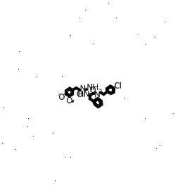 COc1ccc(CC(=O)N=C(N)NC(Cc2ccccc2)C(=O)NCCc2ccc(Cl)cc2)cc1OC